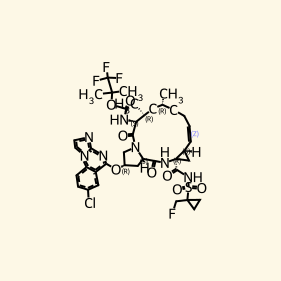 C[C@@H]1CC/C=C\[C@@H]2C[C@@]2(C(=O)NS(=O)(=O)C2(CF)CC2)NC(=O)[C@@H]2C[C@@H](Oc3nc4nccn4c4ccc(Cl)cc34)CN2C(=O)[C@@H](NC(=O)OC(C)(C)C(F)(F)F)[C@H](C)C1